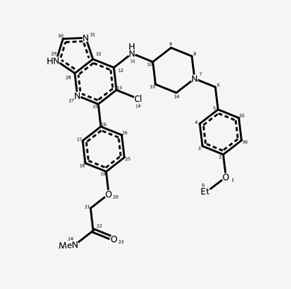 CCOc1ccc(CN2CCC(Nc3c(Cl)c(-c4ccc(OCC(=O)NC)cc4)nc4[nH]cnc34)CC2)cc1